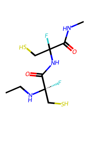 CCN[C@](F)(CS)C(=O)NC(F)(CS)C(=O)NC